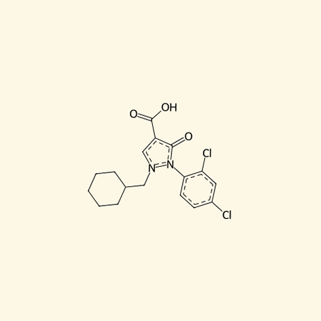 O=C(O)c1cn(CC2CCCCC2)n(-c2ccc(Cl)cc2Cl)c1=O